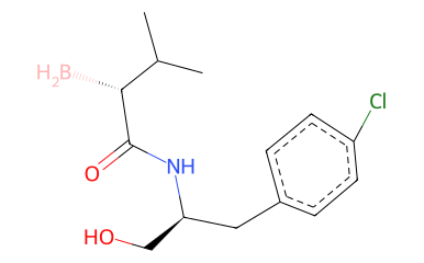 B[C@@H](C(=O)N[C@H](CO)Cc1ccc(Cl)cc1)C(C)C